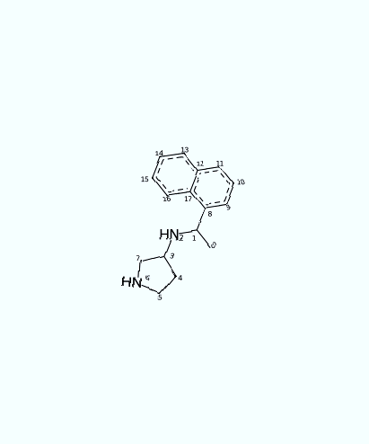 CC(NC1CCNC1)c1cccc2ccccc12